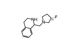 F[C@H]1CCN(CC2NCCc3ccccc32)C1